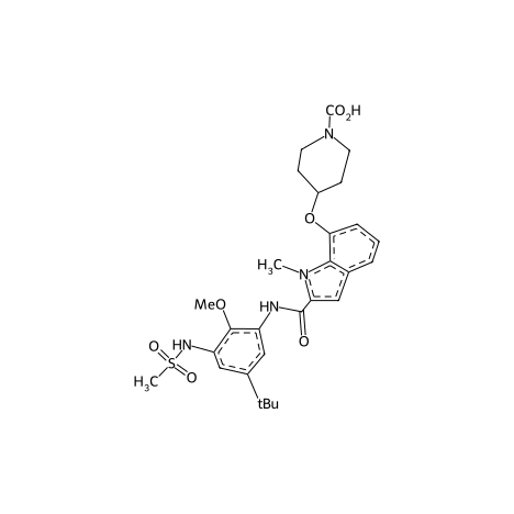 COc1c(NC(=O)c2cc3cccc(OC4CCN(C(=O)O)CC4)c3n2C)cc(C(C)(C)C)cc1NS(C)(=O)=O